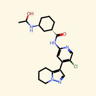 CC(O)N[C@H]1CCC[C@H](C(=O)Nc2cc(-c3cnn4c3CCCC4)c(Cl)cn2)C1